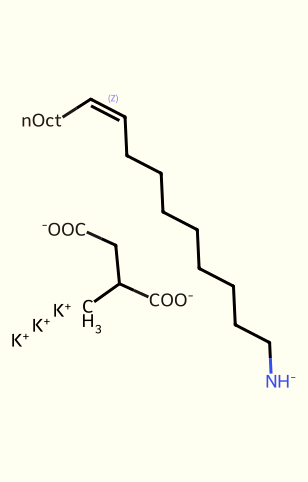 CC(CC(=O)[O-])C(=O)[O-].CCCCCCCC/C=C\CCCCCCCC[NH-].[K+].[K+].[K+]